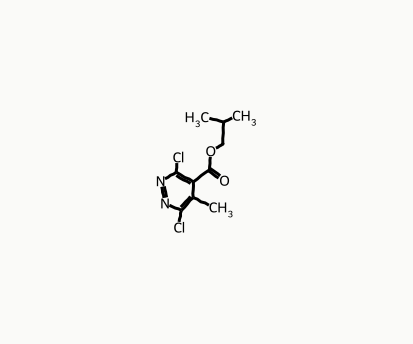 Cc1c(Cl)nnc(Cl)c1C(=O)OCC(C)C